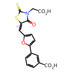 O=C(O)CN1C(=O)/C(=C\c2ccc(-c3cccc(C(=O)O)c3)o2)SC1=S